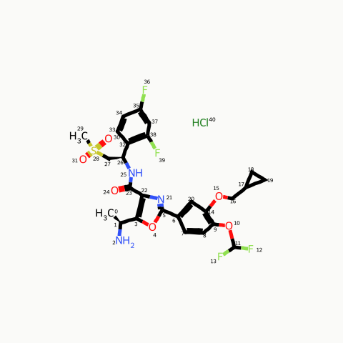 C[C@H](N)c1oc(-c2ccc(OC(F)F)c(OCC3CC3)c2)nc1C(=O)N[C@@H](CS(C)(=O)=O)c1ccc(F)cc1F.Cl